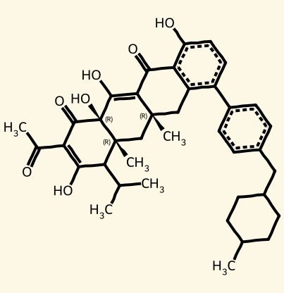 CC(=O)C1=C(O)C(C(C)C)[C@@]2(C)C[C@@]3(C)Cc4c(-c5ccc(CC6CCC(C)CC6)cc5)ccc(O)c4C(=O)C3=C(O)[C@@]2(O)C1=O